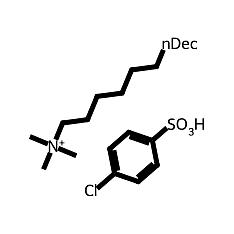 CCCCCCCCCCCCCCCC[N+](C)(C)C.O=S(=O)(O)c1ccc(Cl)cc1